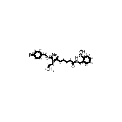 C=CCn1c(CCCCC(=O)NCc2ccccc2OC)nnc1SCc1ccc(F)cc1